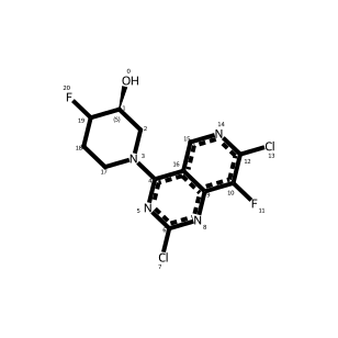 O[C@H]1CN(c2nc(Cl)nc3c(F)c(Cl)ncc23)CCC1F